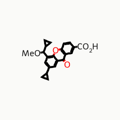 COC(c1cc(C2CC2)cc2c(=O)c3cc(C(=O)O)ccc3oc12)C1CC1